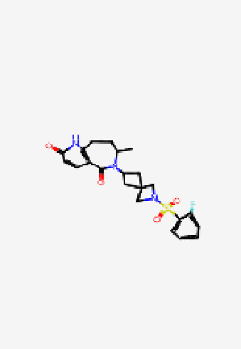 CC1CCc2[nH]c(=O)ccc2C(=O)N1C1CC2(C1)CN(S(=O)(=O)c1ccccc1F)C2